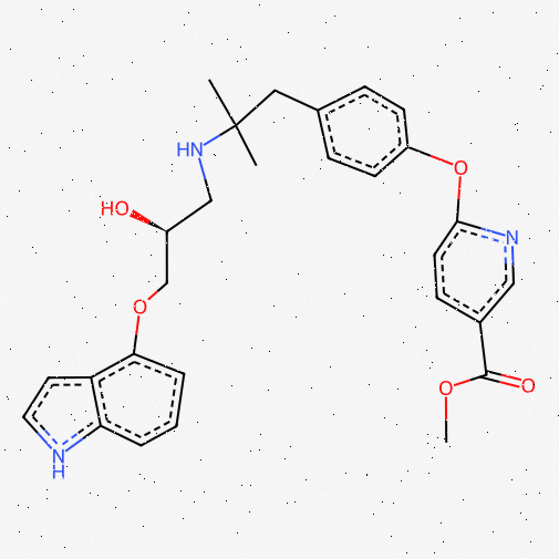 COC(=O)c1ccc(Oc2ccc(CC(C)(C)NC[C@H](O)COc3cccc4[nH]ccc34)cc2)nc1